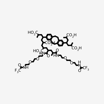 CC(CC(CC(C)C(=O)O)c1ccc2c(c1)CCc1ccc(C(CC(C)C(=O)O)CC(CC(CC(CC(C)C(=O)NCCOCCOCCNC(=O)C(F)(F)F)C(=O)NCCOCCOCCNC(=O)C(F)(F)F)C(=O)O)C(=O)O)cc1CC2)C(=O)O